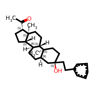 CC(=O)[C@H]1CC[C@H]2[C@@H]3CC[C@@H]4C[C@@](O)(CCc5ccccc5)CC[C@]4(C)[C@H]3CC[C@]12C